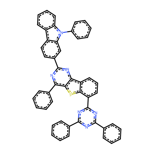 c1ccc(-c2nc(-c3ccccc3)nc(-c3cccc4c3sc3c(-c5ccccc5)nc(-c5ccc6c7ccccc7n(-c7ccccc7)c6c5)nc34)n2)cc1